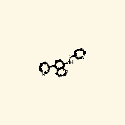 c1cncc(SNc2ccc(-c3cccnc3)c3cccnc23)c1